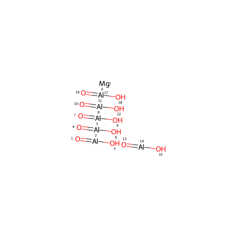 [Mg].[O]=[Al][OH].[O]=[Al][OH].[O]=[Al][OH].[O]=[Al][OH].[O]=[Al][OH].[O]=[Al][OH]